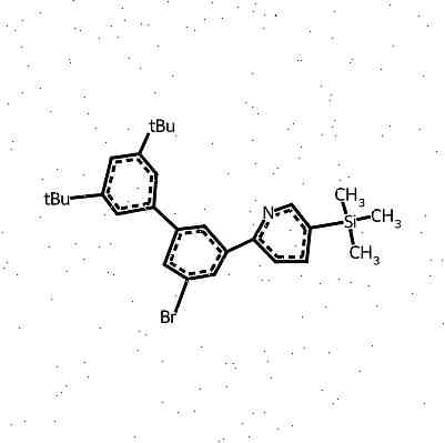 CC(C)(C)c1cc(-c2cc(Br)cc(-c3ccc([Si](C)(C)C)cn3)c2)cc(C(C)(C)C)c1